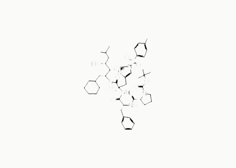 Cc1ccc(S(=O)(=O)n2cnc(C[C@](C)(NC(=O)[C@H](Cc3ccccc3)NC(=O)[C@@H]3CCCN3C(=O)OC(C)(C)C)C(=O)N[C@@H](CC3CCCCC3)[C@@H](O)[C@@H](O)CC(C)C)c2)cc1